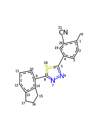 Cc1ccc(-c2nnc(-c3cccc4c3CCC4)s2)cc1C#N